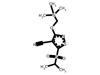 CC(C)S(=O)(=O)c1snc(OC[Si](C)(C)C)c1C#N